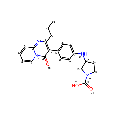 CCCc1nc2ccccn2c(=O)c1-c1ccc(NC2CCN(C(=O)O)C2)cc1